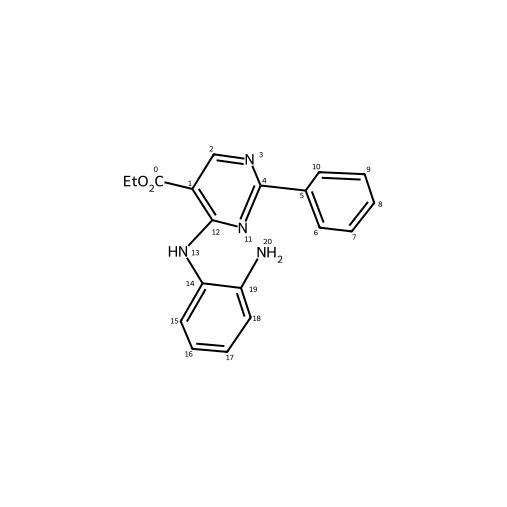 CCOC(=O)c1cnc(-c2ccccc2)nc1Nc1ccccc1N